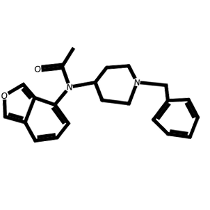 CC(=O)N(c1cccc2cocc12)C1CCN(Cc2ccccc2)CC1